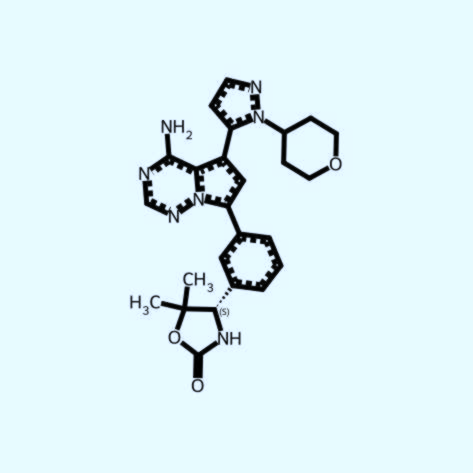 CC1(C)OC(=O)N[C@H]1c1cccc(-c2cc(-c3ccnn3C3CCOCC3)c3c(N)ncnn23)c1